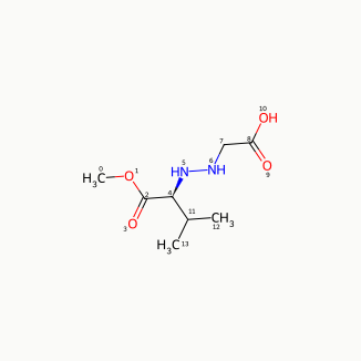 COC(=O)[C@@H](NNCC(=O)O)C(C)C